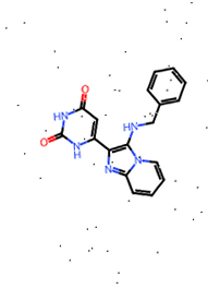 O=c1cc(-c2nc3ccccn3c2NCc2ccccc2)[nH]c(=O)[nH]1